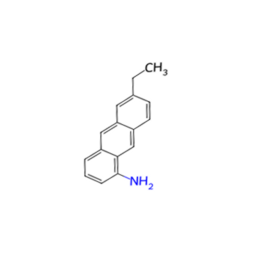 CCc1ccc2cc3c(N)cccc3cc2c1